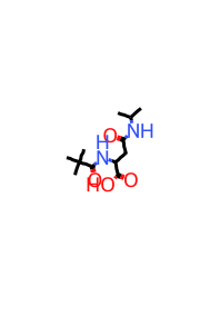 CC(C)NC(=O)CC(NC(=O)C(C)(C)C)C(=O)O